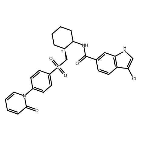 O=C(NC1CCCC[C@@H]1CS(=O)(=O)c1ccc(-n2ccccc2=O)cc1)c1ccc2c(Cl)c[nH]c2c1